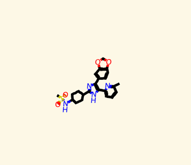 Cc1cccc(-c2[nH]c(C3CCC(NS(C)(=O)=O)CC3)nc2-c2ccc3c(c2)OCO3)n1